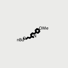 CCCCOCCCc1ccc(-c2ccc(OC)cc2)nc1